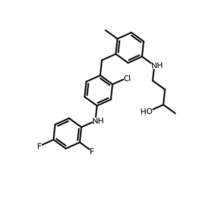 Cc1ccc(NCCC(C)O)cc1Cc1ccc(Nc2ccc(F)cc2F)cc1Cl